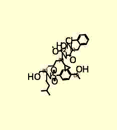 COC(=O)N(C(=O)[C@@H](N)Cc1ccccc1Cl)[C@H](CCC[C@@H](CO)N(CCC(C)C)S(=O)(=O)c1ccc([C@H](C)O)cc1)C1CC1